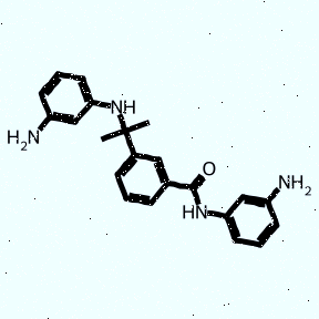 CC(C)(Nc1cccc(N)c1)c1cccc(C(=O)Nc2cccc(N)c2)c1